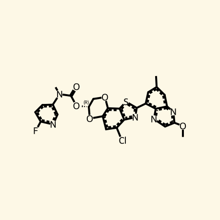 COc1cnc2c(-c3nc4c(Cl)cc5c(c4s3)OC[C@@H](OC(=O)N(C)c3ccc(F)nc3)O5)cc(C)cc2n1